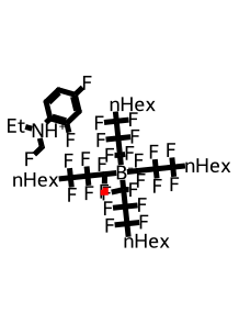 CCCCCCC(F)(F)C(F)(F)C(F)(F)[B-](C(F)(F)C(F)(F)C(F)(F)CCCCCC)(C(F)(F)C(F)(F)C(F)(F)CCCCCC)C(F)(F)C(F)(F)C(F)(F)CCCCCC.CC[NH+](CF)c1ccc(F)cc1F